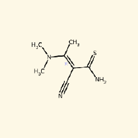 C/C(=C(/C#N)C(N)=S)N(C)C